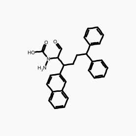 NN(C(=O)O)C(C=O)C(CCC(c1ccccc1)c1ccccc1)c1ccc2ccccc2c1